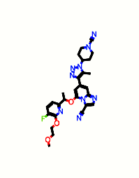 COCCOc1nc(C(C)Oc2cc(-c3nnn(C4CCN(C#N)CC4)c3C)cc3ncc(C#N)n23)ccc1F